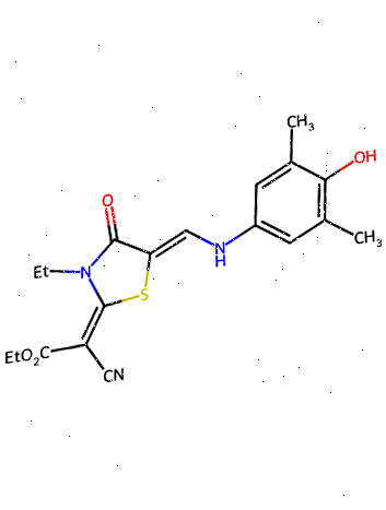 CCOC(=O)C(C#N)=c1sc(=CNc2cc(C)c(O)c(C)c2)c(=O)n1CC